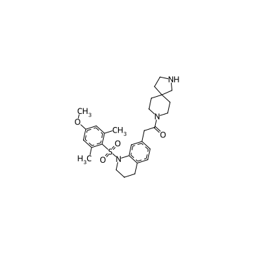 COc1cc(C)c(S(=O)(=O)N2CCCc3ccc(CC(=O)N4CCC5(CCNC5)CC4)cc32)c(C)c1